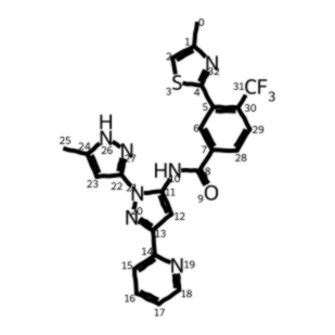 Cc1csc(-c2cc(C(=O)Nc3cc(-c4ccccn4)nn3-c3cc(C)[nH]n3)ccc2C(F)(F)F)n1